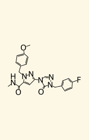 CNC(=O)c1cc(-n2cnn(Cc3ccc(F)cc3)c2=O)nn1Cc1ccc(OC)cc1